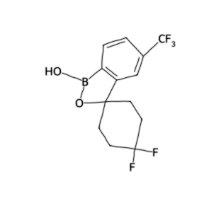 OB1OC2(CCC(F)(F)CC2)c2cc(C(F)(F)F)ccc21